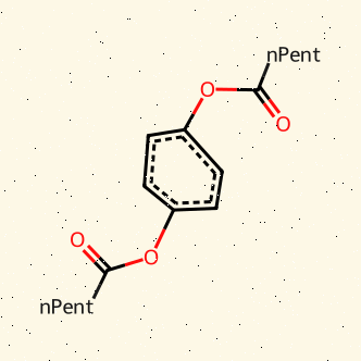 CCCCCC(=O)Oc1ccc(OC(=O)CCCCC)cc1